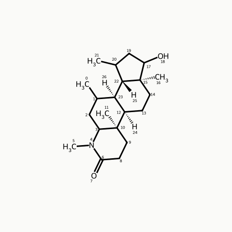 CC1CC2N(C)C(=O)CC[C@]2(C)[C@@H]2CC[C@]3(C)C(O)CC(C)[C@H]3[C@H]12